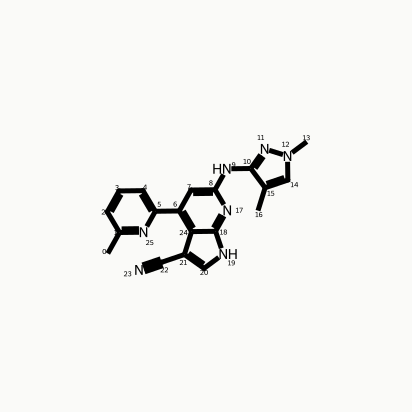 Cc1cccc(-c2cc(Nc3nn(C)cc3C)nc3[nH]cc(C#N)c23)n1